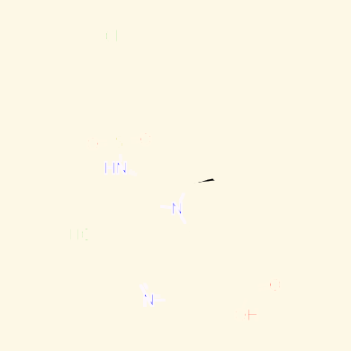 Cl.O=C(O)CCC/C=C\[C@@H]1C[C@@H](NS(=O)(=O)c2ccc(Cl)cc2)CN1Cc1ccncc1